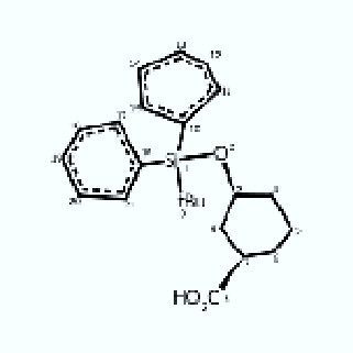 CC(C)(C)[Si](O[C@H]1CCC[C@@H](C(=O)O)C1)(c1ccccc1)c1ccccc1